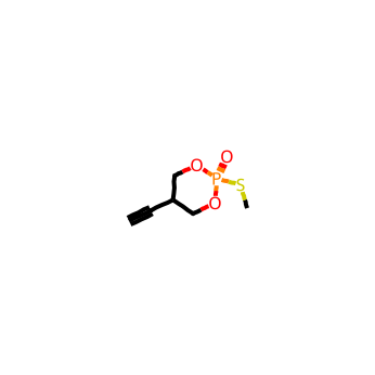 C#CC1COP(=O)(SC)OC1